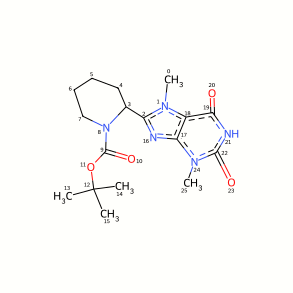 Cn1c(C2CCCCN2C(=O)OC(C)(C)C)nc2c1c(=O)[nH]c(=O)n2C